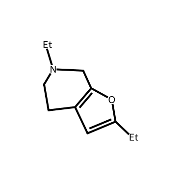 CCc1cc2c(o1)CN(CC)CC2